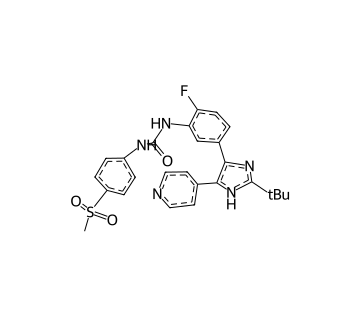 CC(C)(C)c1nc(-c2ccc(F)c(NC(=O)Nc3ccc(S(C)(=O)=O)cc3)c2)c(-c2ccncc2)[nH]1